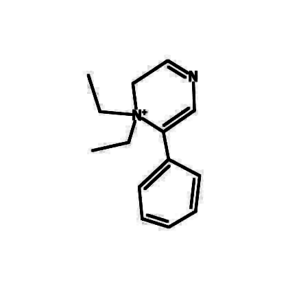 CC[N+]1(CC)CC=NC=C1c1ccccc1